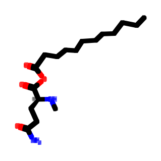 CCCCCCCCCCCC(=O)OC(=O)[C@H](CCC(N)=O)NC